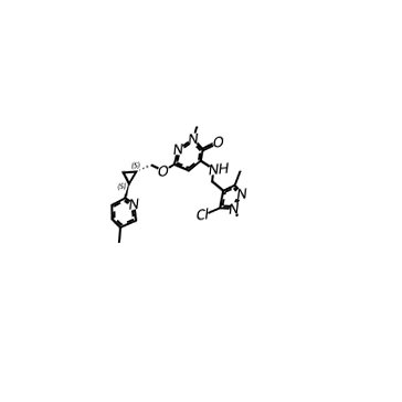 Cc1ccc([C@H]2C[C@@H]2COc2cc(NCc3c(C)nn(C)c3Cl)c(=O)n(C)n2)nc1